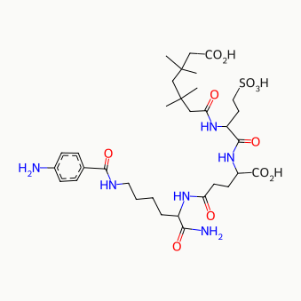 CC(C)(CC(=O)O)CC(C)(C)CC(=O)NC(CCS(=O)(=O)O)C(=O)NC(CCC(=O)NC(CCCCNC(=O)c1ccc(N)cc1)C(N)=O)C(=O)O